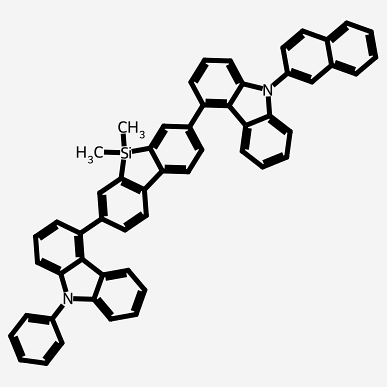 C[Si]1(C)c2cc(-c3cccc4c3c3ccccc3n4-c3ccccc3)ccc2-c2ccc(-c3cccc4c3c3ccccc3n4-c3ccc4ccccc4c3)cc21